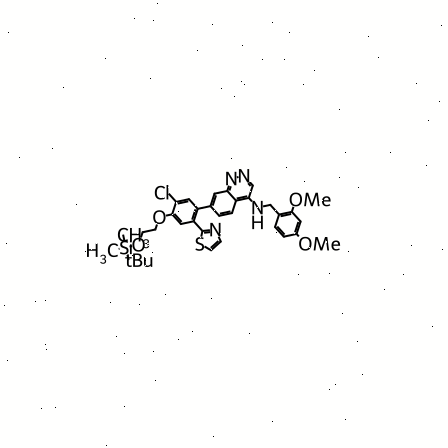 COc1ccc(CNc2cnnc3cc(-c4cc(Cl)c(OCCO[Si](C)(C)C(C)(C)C)cc4-c4nccs4)ccc23)c(OC)c1